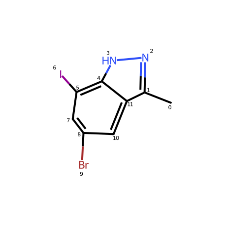 Cc1n[nH]c2c(I)cc(Br)cc12